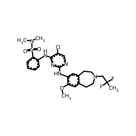 COc1cc2c(cc1Nc1ncc(Cl)c(Nc3ccccc3S(=O)(=O)N(C)C)n1)CCN(CC(C)(F)F)CC2